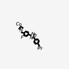 CC(C)Cc1ccc(-c2nc(-c3ccc(CN4C[CH]([Co])C4)c(F)c3)no2)cc1